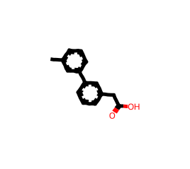 Cc1cccc(-c2cccc(CC(=O)O)c2)c1